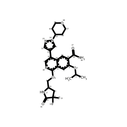 CC(C)Oc1cc2c(OCC3CC(F)(F)C(=O)N3)ncc(-c3cnn(C4CCOCC4)c3)c2cc1C(N)=O